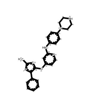 Cc1nc(-c2ccccc2)c(Oc2ccnc(Nc3ccc(N4CCNCC4)cc3)c2)s1